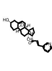 C[C@]12CC[C@H]3[C@@H](CC=C4C[C@@H](O)CC[C@@]43C)[C@@H]1CC[C@@H]2C(=O)/C=C/c1cccnc1